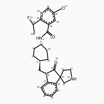 O=C(N[C@H]1CC[C@H](CN2C(=O)C3(CCNC3)c3ccccc32)CC1)c1cc(Cl)cnc1C(F)F